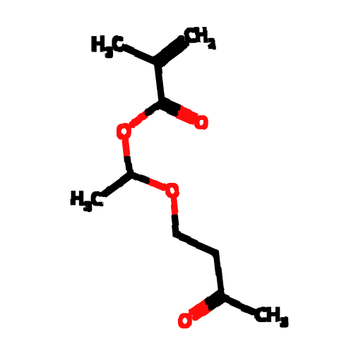 C=C(C)C(=O)OC(C)OCCC(C)=O